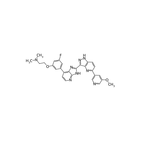 COc1cncc(-c2ccc3[nH]nc(-c4nc5c(-c6cc(F)cc(OCCN(C)C)c6)ccnc5[nH]4)c3n2)c1